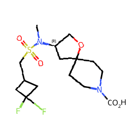 CN([C@H]1COC2(CCN(C(=O)O)CC2)C1)S(=O)(=O)CC1CC(F)(F)C1